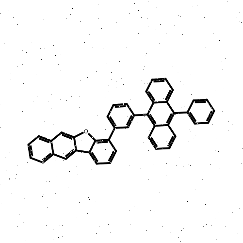 c1ccc(-c2c3ccccc3c(-c3cccc(-c4cccc5c4oc4cc6ccccc6cc45)c3)c3ccccc23)cc1